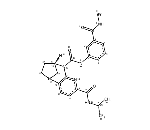 CC(C)NC(=O)c1ccnc(NC(=O)N2c3nc(C(=O)N[C@H](C)C(F)(F)F)ccc3N3CC[C@H]2C3)c1